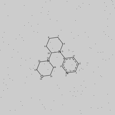 c1cncc(N2CCCCC2N2CCOCC2)c1